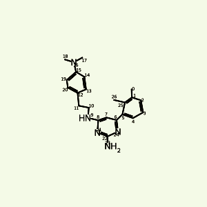 Cc1cccc(-c2cc(NCCc3ccc(N(C)C)cc3)nc(N)n2)c1C